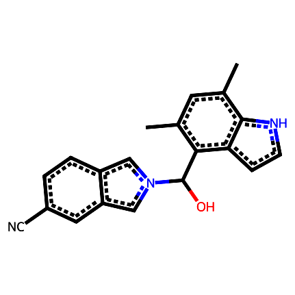 Cc1cc(C)c2[nH]ccc2c1C(O)n1cc2ccc(C#N)cc2c1